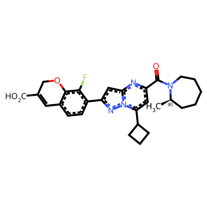 C[C@@H]1CCCCCN1C(=O)c1cc(C2CCC2)n2nc(-c3ccc4c(c3F)OCC(C(=O)O)=C4)cc2n1